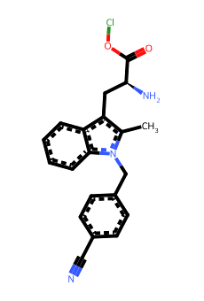 Cc1c(C[C@H](N)C(=O)OCl)c2ccccc2n1Cc1ccc(C#N)cc1